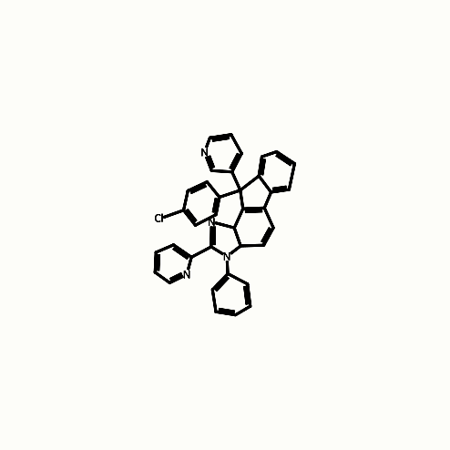 Clc1ccc(C2(c3cccnc3)C3=C(C=CC4C3N=C(c3ccccn3)N4c3ccccc3)c3ccccc32)cc1